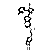 Cc1cccc(-c2[nH]cnc2-c2ccc3ncc(NCCN4CC5CNC5C4)cc3c2)n1